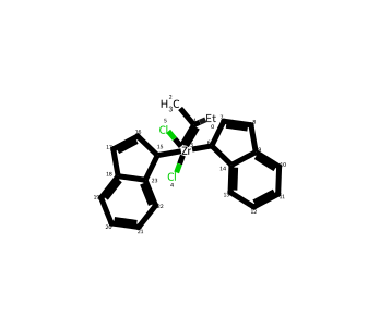 CC[C](C)=[Zr]([Cl])([Cl])([CH]1C=Cc2ccccc21)[CH]1C=Cc2ccccc21